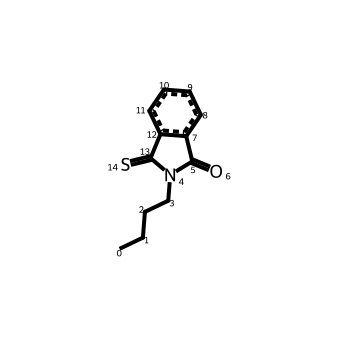 CCCCN1C(=O)c2ccccc2C1=S